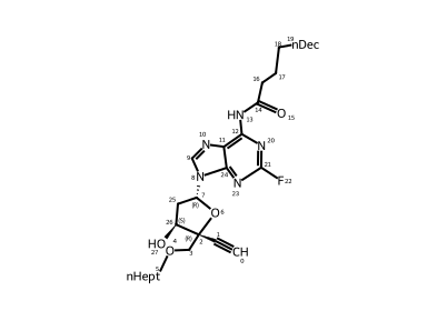 C#C[C@]1(COCCCCCCC)O[C@@H](n2cnc3c(NC(=O)CCCCCCCCCCCCC)nc(F)nc32)C[C@@H]1O